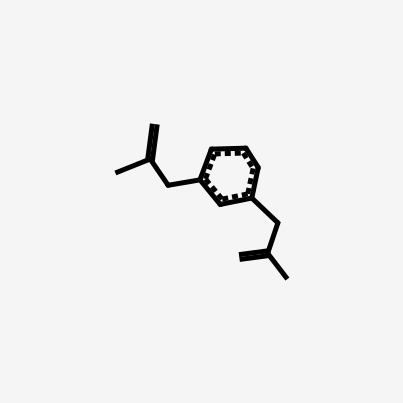 C=C(C)Cc1cccc(CC(=C)C)c1